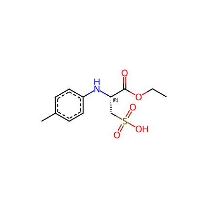 CCOC(=O)[C@H](CS(=O)(=O)O)Nc1ccc(C)cc1